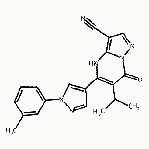 Cc1cccc(-n2cc(-c3[nH]c4c(C#N)cnn4c(=O)c3C(C)C)cn2)c1